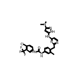 Cc1cc(NC(=O)Nc2ccc(Cl)c(C(F)(F)F)c2)ccc1Cc1nccc(Nc2cc(N(C)C)n[nH]2)n1